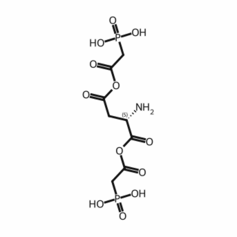 N[C@@H](CC(=O)OC(=O)CP(=O)(O)O)C(=O)OC(=O)CP(=O)(O)O